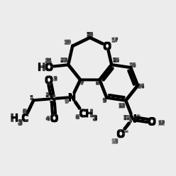 CCS(=O)(=O)N(C)C1c2cc([N+](=O)[O-])ccc2OCCC1O